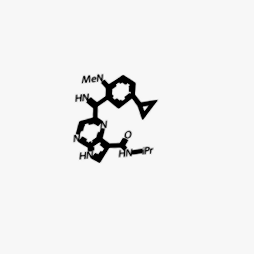 CNc1ccc(C2CC2)cc1C(=N)c1cnc2[nH]cc(C(=O)NC(C)C)c2n1